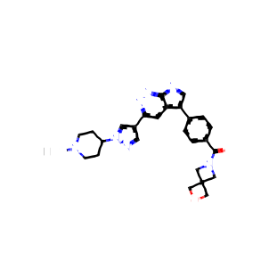 CN1CCC(n2cc(-c3cc4c(-c5ccc(C(=O)N6CC7(COC7)C6)cc5)c[nH]c4nn3)cn2)CC1